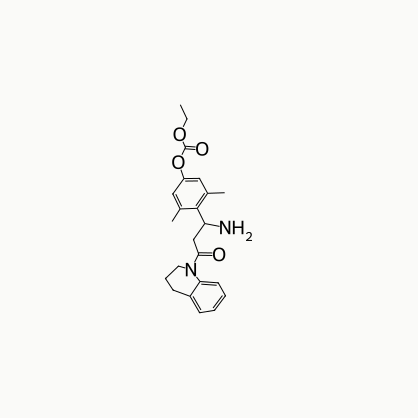 CCOC(=O)Oc1cc(C)c(C(N)CC(=O)N2CCCc3ccccc32)c(C)c1